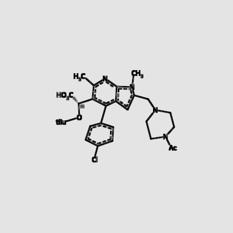 CC(=O)N1CCN(Cc2cc3c(-c4ccc(Cl)cc4)c([C@H](OC(C)(C)C)C(=O)O)c(C)nc3n2C)CC1